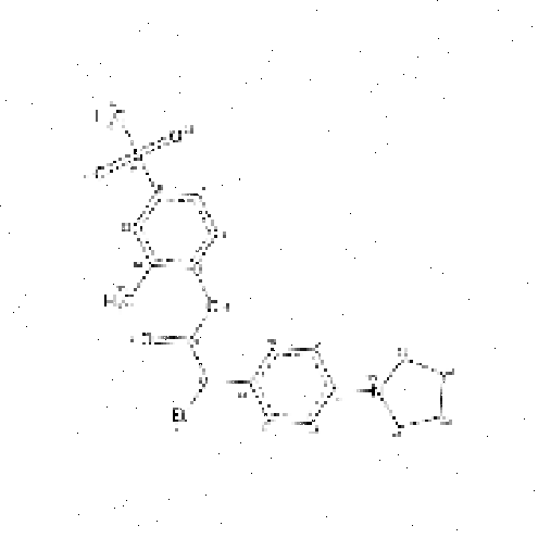 CCC(C(=O)Oc1ccc(S(C)(=O)=O)cc1C)c1ccc(N2CCCC2)cc1